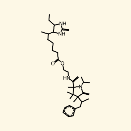 C=C1NC(CC)C(C(C)CCCCC(=O)OCCNC(=C)C2(C)N(C(C)C)C(=C)C(C)(C(C)Cc3ccccc3)C2(C)C)N1